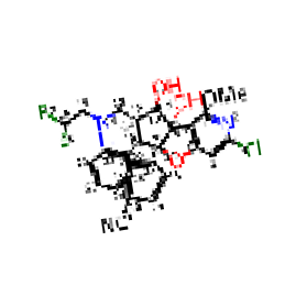 COc1nc(Cl)cc2c1[C@]1(O)[C@H](O)[C@H](CNCC(F)F)[C@@H](c3ccccc3)[C@]1(c1ccc(C#N)cc1)O2